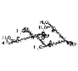 CCCCC(CCCC)CCOC(=O)CCCCCCCCCC(CCCCCCCCCC(=O)OCCC(CCCC)CCCCC(CCC)C(CCCC)CCOC(=O)CCCCCCCCCC(CCCCCCCCCC(=O)OCCC(CCCC)CCCC)OCCCCN(C)CC)CCN1CCN(C)CC1